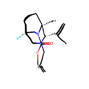 C=CCN1C[C@@]2(F)CC[C@@H]([C@@H]1C(=C)C)N2C(=O)OC(C)(C)C